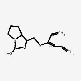 C=C/C=C(\C=C)SCC1OP(O)N2CCCC12